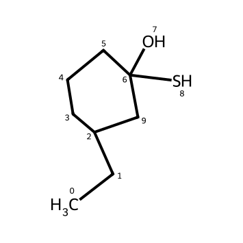 CCC1CCCC(O)(S)C1